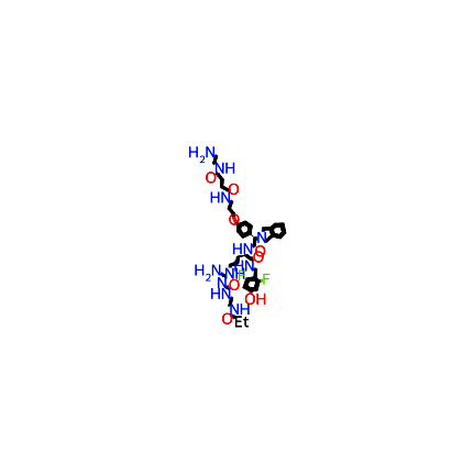 CCC(=O)NCCNC(=O)/N=C(/N)NCCC[C@@H](NC(=O)[C@H](c1ccc(OCCCNC(=O)CCC(=O)NCCN)cc1)N1Cc2ccccc2C1)C(=O)NCc1c(F)cc(O)cc1F